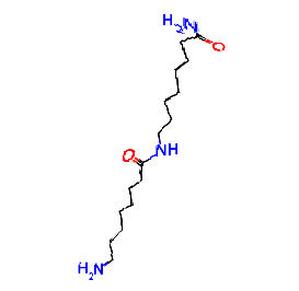 NCCCCCCCC(=O)NCCCCCCCC(N)=O